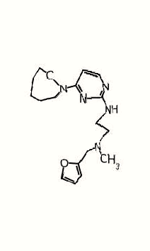 CN(CCNc1nccc(N2CCCCCC2)n1)Cc1ccco1